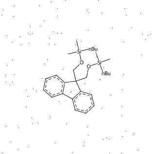 CCCC[Si](C)(C)OCC1(CO[Si](C)(C)CCCC)c2ccccc2-c2ccccc21